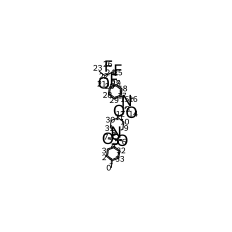 Cc1ccc(S(=O)(=O)N2CCC(OC(=O)N(C)c3ccc(OC(C)C(F)(F)F)cc3)CC2)cc1